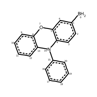 Bc1ccc2c(c1)Oc1ccccc1N2c1ccccc1